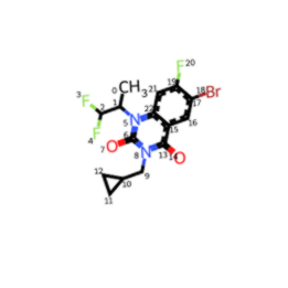 CC(C(F)F)n1c(=O)n(CC2CC2)c(=O)c2cc(Br)c(F)cc21